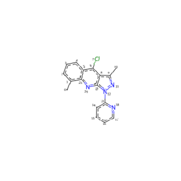 Cc1cccc2c(Cl)c3c(C)nn(-c4ccccn4)c3nc12